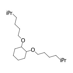 CC(C)CCCCOC1CCCCC1OCCCCC(C)C